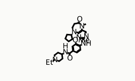 CCN1CCC(NC(=O)c2ccc(Nc3ncc4c(n3)N(C3CCCC3)CCC(=O)N4C)c(OC)c2)CC1